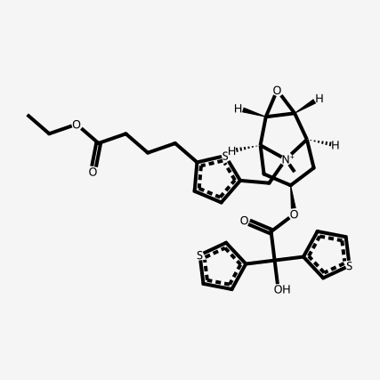 CCOC(=O)CCCc1ccc(C[N+]2(C)[C@@H]3C[C@@H](OC(=O)C(O)(c4ccsc4)c4ccsc4)C[C@H]2[C@@H]2O[C@@H]23)s1